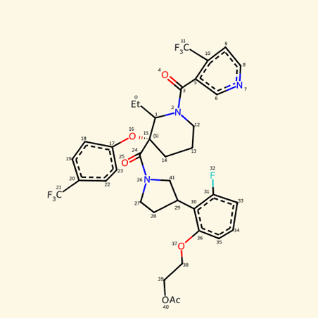 CCC1N(C(=O)c2cnccc2C(F)(F)F)CCC[C@@]1(Oc1ccc(C(F)(F)F)cc1)C(=O)N1CCC(c2c(F)cccc2OCCOC(C)=O)C1